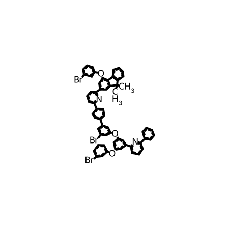 CC1(C)c2ccccc2-c2c(Oc3cccc(Br)c3)cc(-c3cccc(-c4ccc(-c5cc(Br)cc(Oc6cc(Oc7cccc(Br)c7)cc(-c7cccc(-c8ccccc8)n7)c6)c5)cc4)n3)cc21